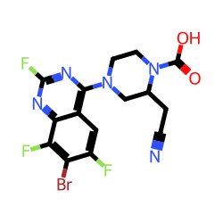 N#CCC1CN(c2nc(F)nc3c(F)c(Br)c(F)cc23)CCN1C(=O)O